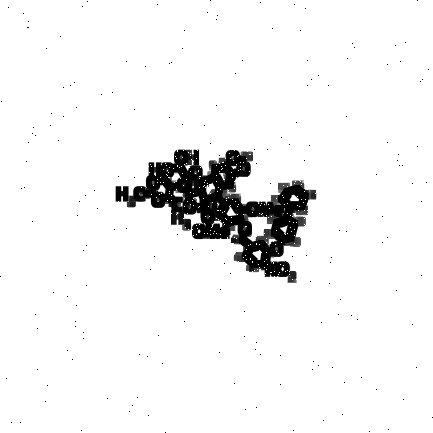 COc1cc([C@@H]2c3cc4c(cc3[C@@H](OC(OC3COC(C)OC3C)C(O)O)[C@H]3COC(=O)[C@H]23)OCO4)cc(OC)c1OCc1ccc([N+](=O)[O-])c(Oc2ccc(-c3ccccc3)cc2)c1